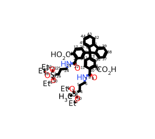 CCO[Si](C)(CCCNC(=O)c1ccc(C2(c3ccc(C(=O)O)c(C(=O)NCCC[Si](OCC)(OCC)OCC)c3)c3ccccc3-c3ccccc32)cc1C(=O)O)OCC